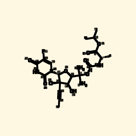 BC(B)(O[PH](=O)N[C@@H](C)C(=O)OC(C)C)C1O[C@@H](n2cc(F)c(=O)[nH]c2=O)[C@@](Cl)(C#CC)C1O